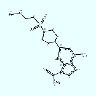 CNC(=O)c1csc2c(C(F)(F)F)cc(N3CCN(S(=O)(=O)CCOC(C)C)CC3)nc12